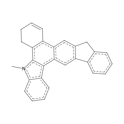 Cn1c2ccccc2c2c3cc4c(cc3c3c(c21)CCC=C3)Cc1ccccc1-4